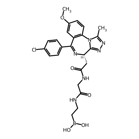 COc1ccc2c(c1)C(c1ccc(Cl)cc1)=N[C@@H](CC(=O)NCC(=O)NCCB(O)O)c1nnc(C)n1-2